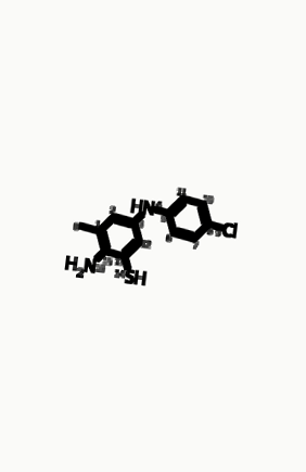 Cc1cc(Nc2ccc(Cl)cc2)cc(S)c1N